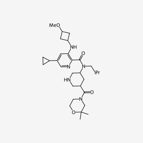 COC1CC(Nc2cc(C3CC3)cnc2C(=O)N(CC(C)C)C2CNCC(C(=O)N3CCOC(C)(C)C3)C2)C1